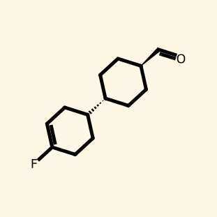 O=C[C@H]1CC[C@H](C2CC=C(F)CC2)CC1